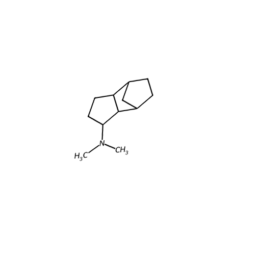 CN(C)C1CCC2C3CCC(C3)C21